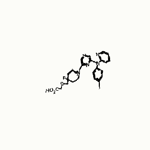 Cc1ccc(N(c2ccccn2)c2cncc(N3CCC(F)(COCC(=O)O)CC3)n2)cc1